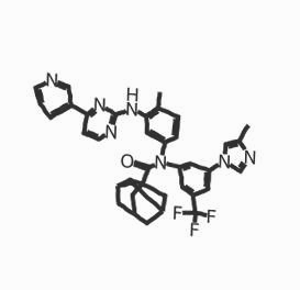 Cc1cn(-c2cc(N(C(=O)C34CC5CC(CC(C5)C3)C4)c3ccc(C)c(Nc4nccc(-c5cccnc5)n4)c3)cc(C(F)(F)F)c2)cn1